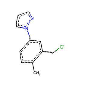 Cc1ccc(-n2cccn2)cc1CCl